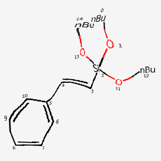 CCCCO[Si](C=Cc1ccccc1)(OCCCC)OCCCC